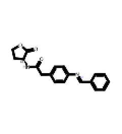 O=C(Cc1ccc(/N=C/c2ccccc2)cc1)N[C@H]1CCOC1=O